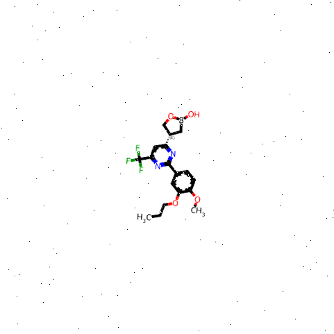 CCCOc1cc(-c2nc([C@@H]3COB(O)C3)cc(C(F)(F)F)n2)ccc1OC